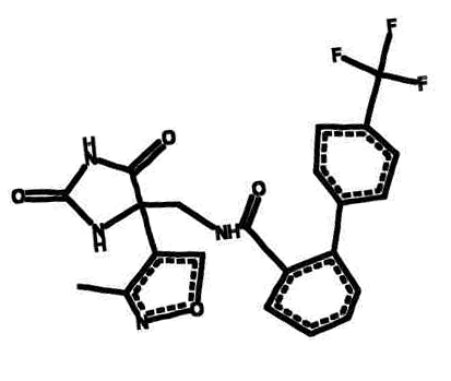 Cc1nocc1C1(CNC(=O)c2ccccc2-c2ccc(C(F)(F)F)cc2)NC(=O)NC1=O